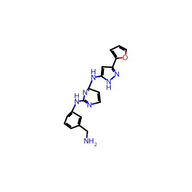 NCc1cccc(Nc2nccc(Nc3cc(-c4ccco4)n[nH]3)n2)c1